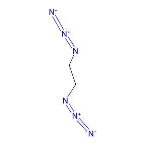 [N-]=[N+]=NCCN=[N+]=[N-]